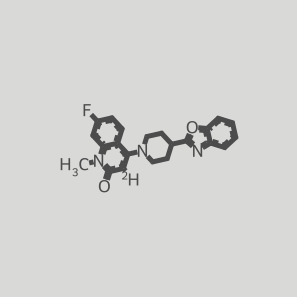 [2H]c1c(N2CCC(c3nc4ccccc4o3)CC2)c2ccc(F)cc2n(C)c1=O